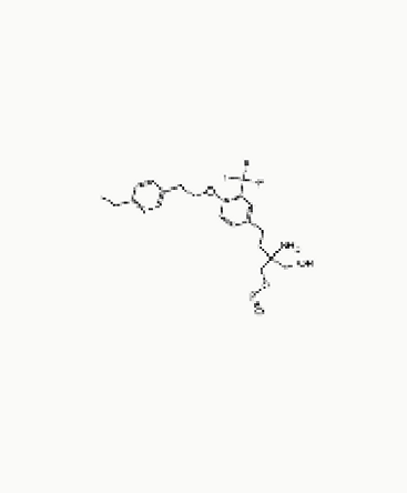 CCc1ccc(CCOc2ccc(CCC(N)(CO)COP=O)cc2C(F)(F)F)cc1